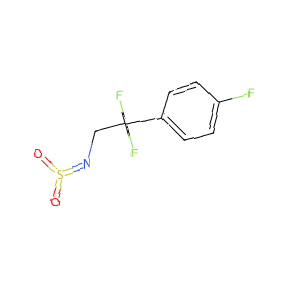 O=S(=O)=NCC(F)(F)c1ccc(F)cc1